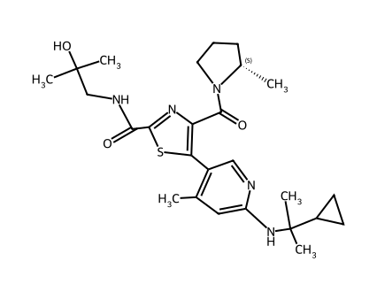 Cc1cc(NC(C)(C)C2CC2)ncc1-c1sc(C(=O)NCC(C)(C)O)nc1C(=O)N1CCC[C@@H]1C